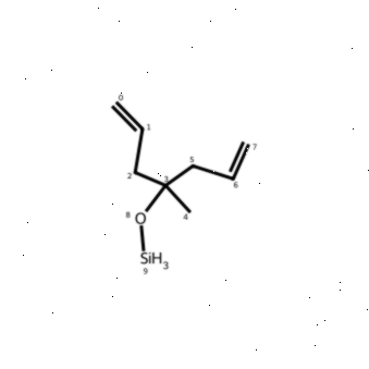 C=CCC(C)(CC=C)O[SiH3]